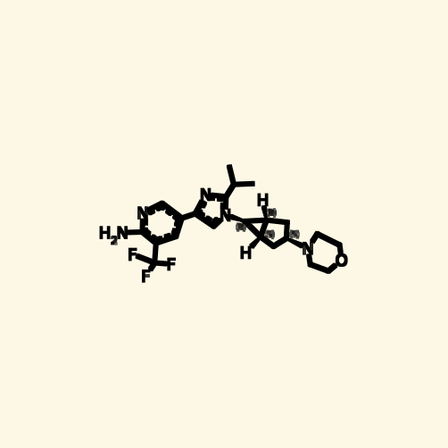 CC(C)c1nc(-c2cnc(N)c(C(F)(F)F)c2)cn1[C@H]1[C@@H]2C[C@@H](N3CCOCC3)C[C@@H]21